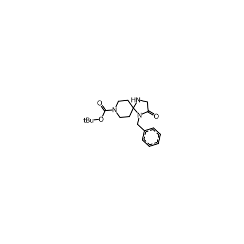 CC(C)(C)OC(=O)N1CCC2(CC1)NCC(=O)N2Cc1ccccc1